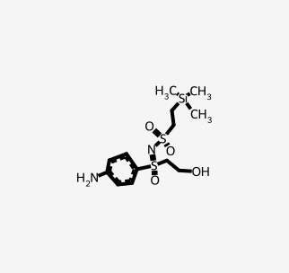 C[Si](C)(C)CCS(=O)(=O)N=S(=O)(CCO)c1ccc(N)cc1